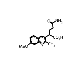 COc1ccc2cc(C(CCC(N)=O)C(=O)O)c(C)nc2c1